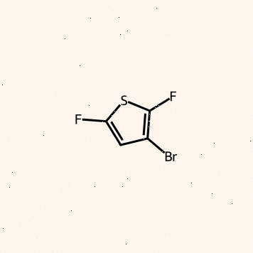 Fc1cc(Br)c(F)s1